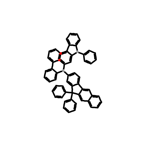 c1ccc(-c2ccccc2N(c2ccc3c(c2)C(c2ccccc2)(c2ccccc2)c2cc4ccccc4cc2-3)c2ccc3c4ccccc4n(-c4ccccc4)c3c2)cc1